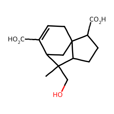 CC1(CO)C2CC3(CC=C2C(=O)O)C(C(=O)O)CCC13